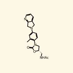 CC(=O)NC[C@H]1CN(c2ccc(N3Cc4cccnc4C3)cc2C)C(=O)O1